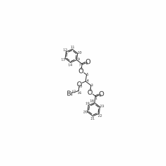 O=C(OCC(COC(=O)c1ccccc1)OCBr)c1ccccc1